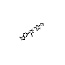 Cn1ncc2cc(N3C[C@H](Cn4cc(C#N)nn4)OC3=O)ccc21